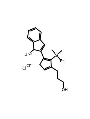 CC[Si](C)(C)C1=C(C2=Cc3ccccc3[CH]2[Zr+2])CC=C1CCCO.[Cl-].[Cl-]